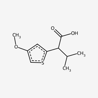 COc1csc(C(C(=O)O)C(C)C)c1